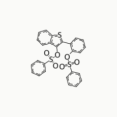 O=S(=O)(Oc1ccccc1-c1sc2ccccc2c1OS(=O)(=O)c1ccccc1)c1ccccc1